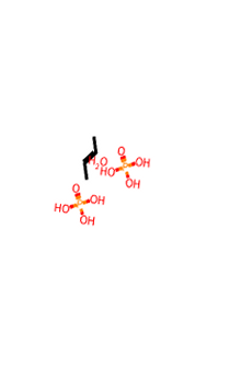 CC=CC.O.O=P(O)(O)O.O=P(O)(O)O